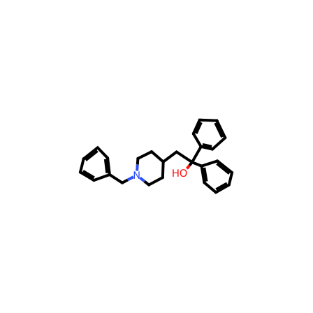 OC(CC1CCN(Cc2ccccc2)CC1)(c1ccccc1)c1ccccc1